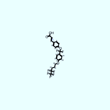 O=C(O)/C=C/c1ccc(OC(F)(F)c2ccc(OCCCC(F)(F)C(F)(F)F)cc2)cc1